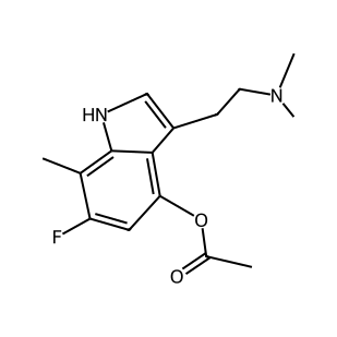 CC(=O)Oc1cc(F)c(C)c2[nH]cc(CCN(C)C)c12